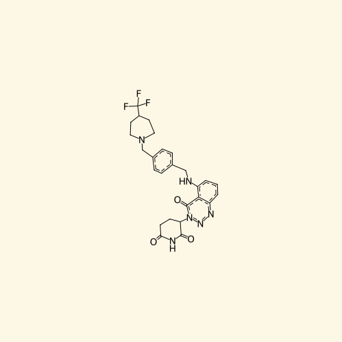 O=C1CCC(n2nnc3cccc(NCc4ccc(CN5CCC(C(F)(F)F)CC5)cc4)c3c2=O)C(=O)N1